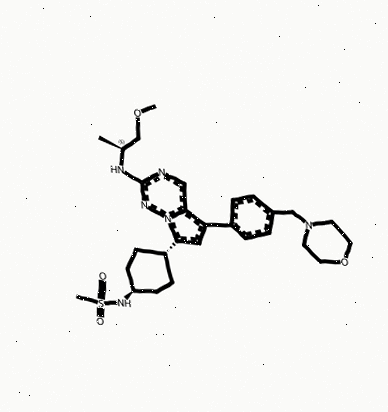 COC[C@H](C)Nc1ncc2c(-c3ccc(CN4CCOCC4)cc3)cc([C@H]3CC[C@H](NS(C)(=O)=O)CC3)n2n1